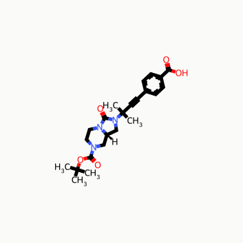 CC(C)(C)OC(=O)N1CCN2C(=O)N(C(C)(C)C#Cc3ccc(C(=O)O)cc3)C[C@@H]2C1